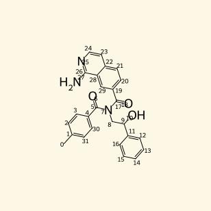 Cc1ccc(C(=O)N(CC(O)c2ccccc2)C(=O)c2ccc3ccnc(N)c3c2)cc1